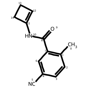 Cc1ccc(C#N)cc1C(=O)NC1=CCC1